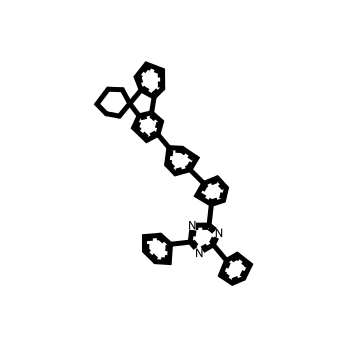 c1ccc(-c2nc(-c3ccccc3)nc(-c3cccc(-c4ccc(-c5ccc6c(c5)-c5ccccc5C65CCCCC5)cc4)c3)n2)cc1